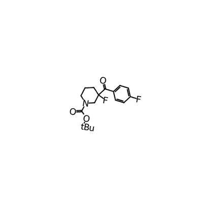 CC(C)(C)OC(=O)N1CCCC(F)(C(=O)c2ccc(F)cc2)C1